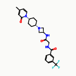 Cc1ccn([C@H]2CC[C@@H](N3CC(NC(=O)CNC(=O)c4cccc(C(F)(F)F)c4)C3)CC2)c(=O)c1